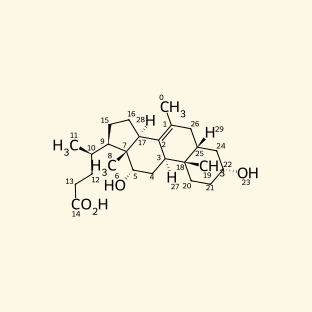 CC1=C2[C@H](C[C@H](O)[C@]3(C)[C@@H]([C@H](C)CCC(=O)O)CC[C@@H]23)[C@@]2(C)CC[C@@H](O)C[C@H]2C1